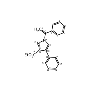 C=C(c1ccccc1)n1cc(-c2ccccc2)c(C(=O)OCC)n1